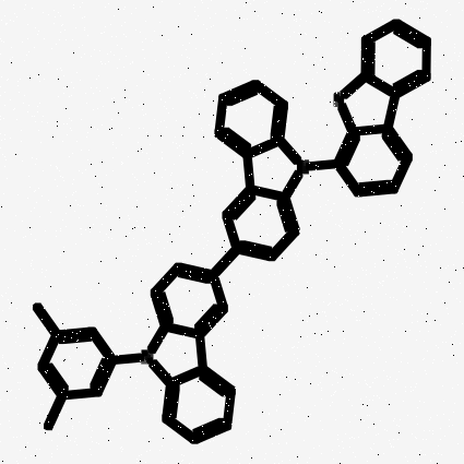 Cc1cc(C)cc(-n2c3ccccc3c3cc(-c4ccc5c(c4)c4ccccc4n5-c4cccc5c4sc4ccccc45)ccc32)c1